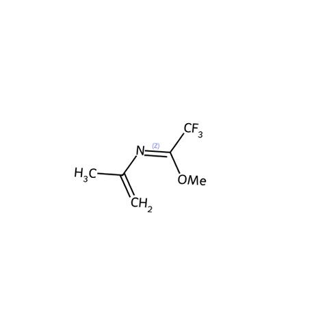 C=C(C)/N=C(\OC)C(F)(F)F